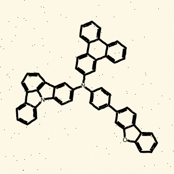 c1ccc2c(c1)oc1cc(-c3ccc(N(c4ccc5c6ccccc6c6ccccc6c5c4)c4ccc5c(c4)c4cccc6c7ccccc7n5c64)cc3)ccc12